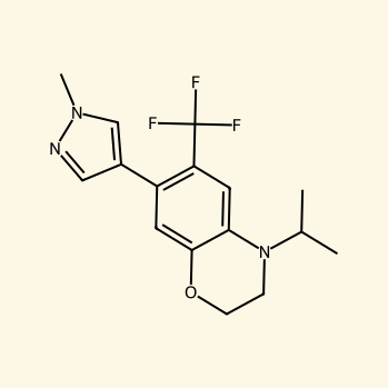 CC(C)N1CCOc2cc(-c3cnn(C)c3)c(C(F)(F)F)cc21